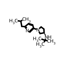 CC(C)Cc1ccc(N2CC[C@@H](NC(C)(C)C)C2)cn1